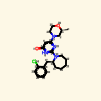 C[C@@H]1CN(c2cc(=O)[nH]c(N3CCCCC[C@H]3Cc3ccccc3Cl)n2)CCO1